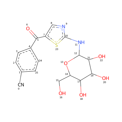 N#Cc1ccc(C(=O)c2cnc(NC3OC(CO)C(O)C(O)C3O)s2)cc1